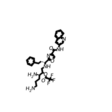 NCCC[C@@H](N)C(CN[C@H](CCc1ccccc1)c1nc(C(=O)Nc2cnc3ccccc3c2)co1)OC(=O)C(F)(F)F